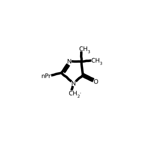 [CH2]N1C(=O)C(C)(C)N=C1CCC